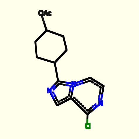 CC(=O)OC1CCC(c2ncc3c(Cl)nccn23)CC1